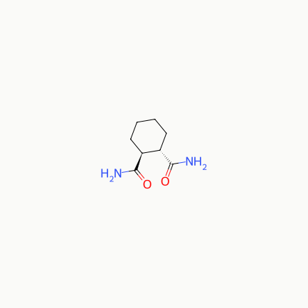 NC(=O)[C@H]1CCCC[C@@H]1C(N)=O